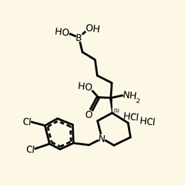 Cl.Cl.NC(CCCCB(O)O)(C(=O)O)[C@H]1CCCN(Cc2ccc(Cl)c(Cl)c2)C1